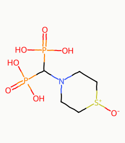 O=P(O)(O)C(N1CC[S+]([O-])CC1)P(=O)(O)O